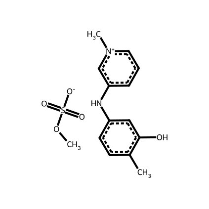 COS(=O)(=O)[O-].Cc1ccc(Nc2ccc[n+](C)c2)cc1O